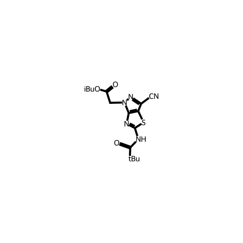 CC(C)COC(=O)Cn1nc(C#N)c2sc(NC(=O)C(C)(C)C)nc21